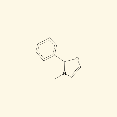 CN1C=COC1c1ccccc1